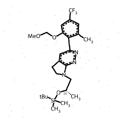 COCOc1cc(C(F)(F)F)cc(C)c1-c1cc2c(nn1)N(C[C@H](C)O[Si](C)(C)C(C)(C)C)CC2